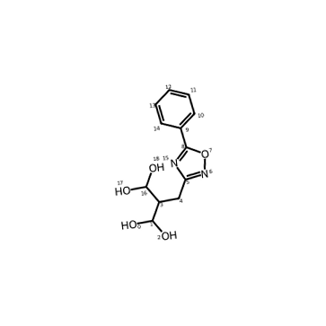 OC(O)C(Cc1noc(-c2ccccc2)n1)C(O)O